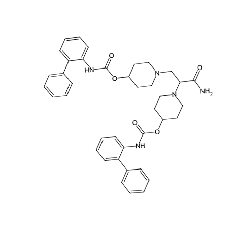 NC(=O)C(CN1CCC(OC(=O)Nc2ccccc2-c2ccccc2)CC1)N1CCC(OC(=O)Nc2ccccc2-c2ccccc2)CC1